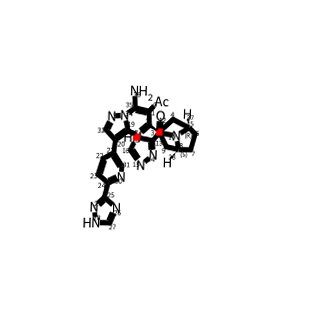 CC(=O)c1c([C@H]2C[C@H]3CC[C@@H](C2)N3C(=O)c2nnc[nH]2)nc2c(-c3ccc(-c4nc[nH]n4)nc3)cnn2c1N